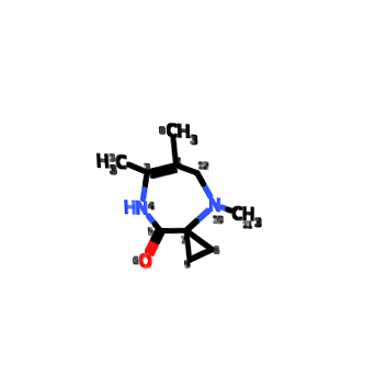 CC1=C(C)NC(=O)C2(CC2)N(C)C1